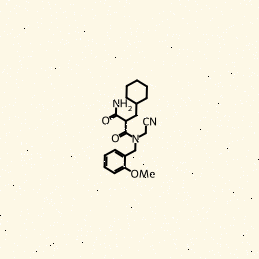 COc1ccccc1CN(CC#N)C(=O)C(CC1CCCCC1)C(N)=O